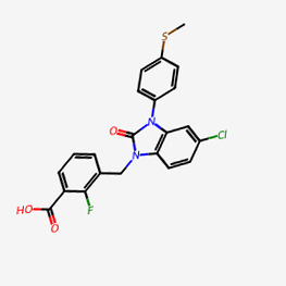 CSc1ccc(-n2c(=O)n(Cc3cccc(C(=O)O)c3F)c3ccc(Cl)cc32)cc1